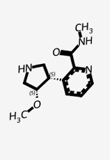 CNC(=O)c1ncccc1[C@H]1CNC[C@H]1OC